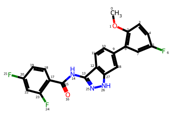 COc1ccc(F)cc1-c1ccc2c(NC(=O)c3ccc(F)cc3F)n[nH]c2c1